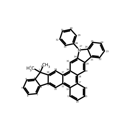 CC1(C)c2ccccc2-c2cc3c4ccccc4c4cc5c6ccccc6n(-c6ccccc6)c5cc4c3cc21